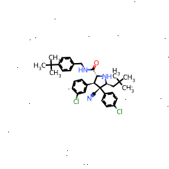 CC(C)(C)C[C@@H]1N[C@@H](C(=O)NCc2ccc(C(C)(C)C)cc2)[C@H](c2cccc(Cl)c2)[C@@]1(C#N)c1ccc(Cl)cc1